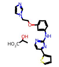 CC(O)C(=O)O.c1cc(Nc2nccc(-c3cccs3)n2)cc(OCCn2ccnc2)c1